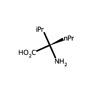 CCC[C@@](N)(C(=O)O)C(C)C